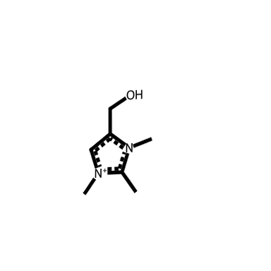 Cc1n(C)c(CO)c[n+]1C